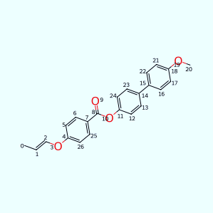 CC=COc1ccc(C(=O)Oc2ccc(-c3ccc(OC)cc3)cc2)cc1